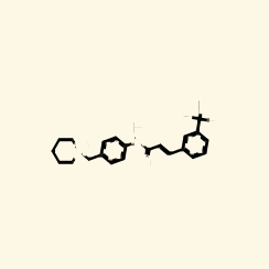 C[N+]1(Cc2ccc(NC(=O)/C=C/c3cccc(C(F)(F)F)c3)cc2)CCCCC1.[I-]